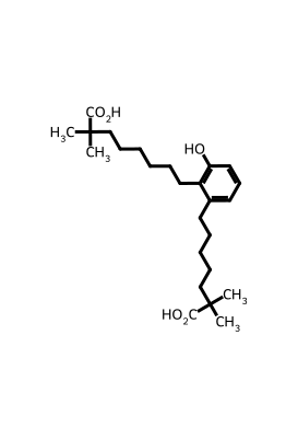 CC(C)(CCCCCCc1c(O)cccc1CCCCCC(C)(C)C(=O)O)C(=O)O